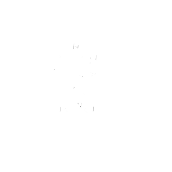 CN(C)C=CC(=O)c1cccc(Br)c1O